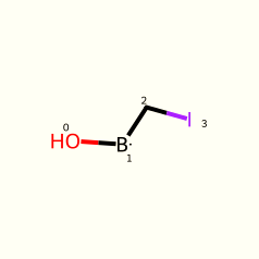 O[B]CI